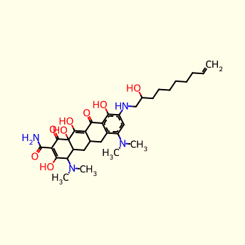 C=CCCCCCCC(O)CNc1cc(N(C)C)c2c(c1O)C(=O)C1=C(O)C3(O)C(=O)C(C(N)=O)=C(O)C(N(C)C)C3CC1C2